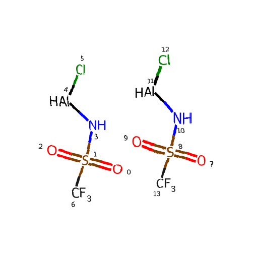 O=S(=O)([NH][AlH][Cl])C(F)(F)F.O=S(=O)([NH][AlH][Cl])C(F)(F)F